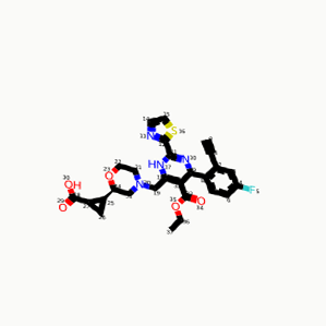 C#Cc1cc(F)ccc1C1N=C(c2nccs2)NC(CN2CCO[C@H](C3CC3C(=O)O)C2)=C1C(=O)OCC